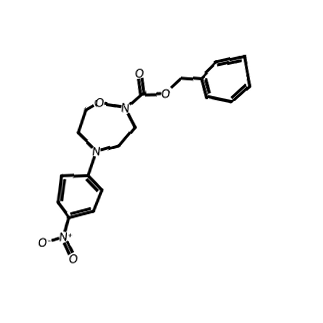 O=C(OCc1ccccc1)N1CCN(c2ccc([N+](=O)[O-])cc2)CCO1